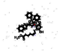 COC(=O)CCC/C=C\C[C@H]1[C@@H](O)CC(=O)[C@@H]1/C=C/[C@@H](O[Si](c1ccccc1)(c1ccccc1)C(C)(C)C)c1nc2ccccc2s1